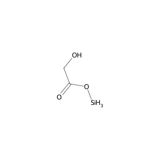 O=C(CO)O[SiH3]